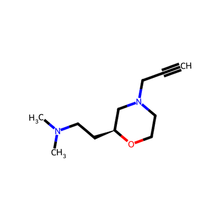 C#CCN1CCO[C@@H](CCN(C)C)C1